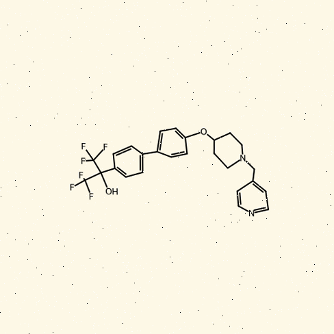 OC(c1ccc(-c2ccc(OC3CCN(Cc4ccncc4)CC3)cc2)cc1)(C(F)(F)F)C(F)(F)F